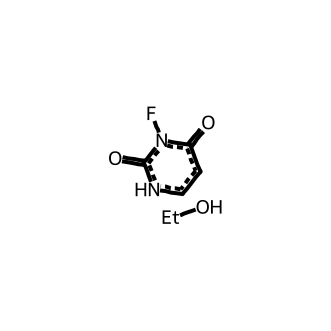 CCO.O=c1cc[nH]c(=O)n1F